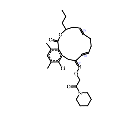 CCCC1C/C=C/CC/C=C/C(=N/OCC(=O)N2CCCCC2)Cc2c(Cl)c(C)cc(C)c2C(=O)O1